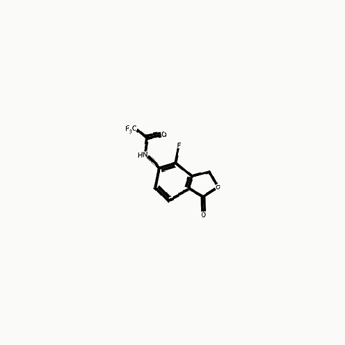 O=C1OCc2c1ccc(NC(=O)C(F)(F)F)c2F